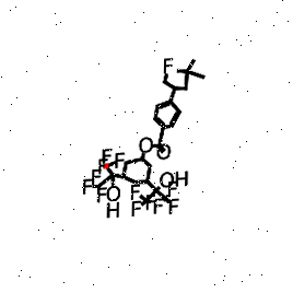 CC(C)(C)CC(CF)c1ccc(C(=O)OC2CC(C(O)(C(F)(F)F)C(F)(F)F)CC(C(O)(C(F)(F)F)C(F)(F)F)C2)cc1